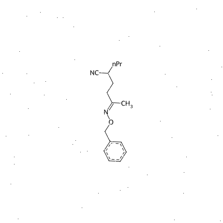 CCCC(C#N)CC/C(C)=N/OCc1ccccc1